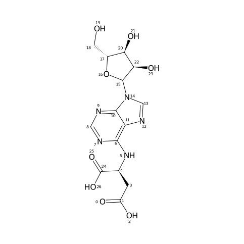 O=C(O)C[C@H](Nc1ncnc2c1ncn2C1O[C@H](CO)[C@@H](O)[C@H]1O)C(=O)O